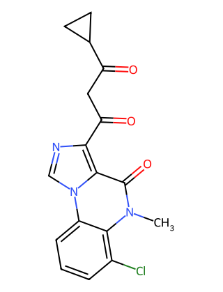 Cn1c(=O)c2c(C(=O)CC(=O)C3CC3)ncn2c2cccc(Cl)c21